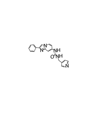 O=C(NCc1ccncc1)Nc1ccn2cc(-c3ccccc3)nc2c1